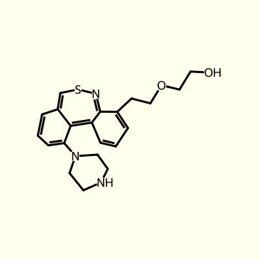 OCCOCCc1cccc2c1=NSC=c1cccc(N3CCNCC3)c1=2